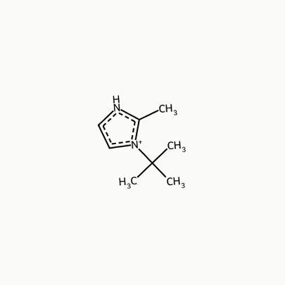 Cc1[nH]cc[n+]1C(C)(C)C